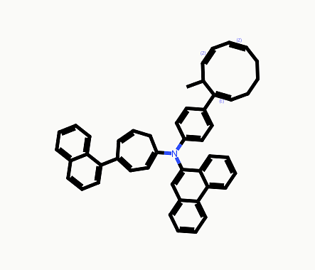 CC1/C=C\C=C/CCC/C=C\1c1ccc(N(C2=CC=C(c3cccc4ccccc34)C=CC2)c2cc3ccccc3c3ccccc23)cc1